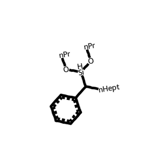 CCCCCCCC(c1ccccc1)[SiH](OCCC)OCCC